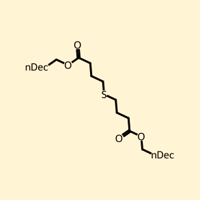 CCCCCCCCCCCOC(=O)CCCSCCCC(=O)OCCCCCCCCCCC